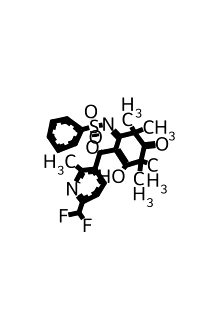 Cc1nc(C(F)F)ccc1C(=O)C1=C(O)C(C)(C)C(=O)C(C)(C)C1=NS(=O)(=O)c1ccccc1